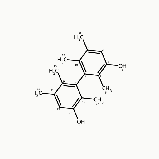 Cc1cc(O)c(C)c(-c2c(C)c(C)cc(O)c2C)c1C